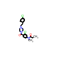 CCC(=O)N(C)c1ccc(C(=O)N2CCN(CCc3ccc(Cl)cc3)CC2)c(Cl)c1